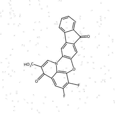 O=C(O)c1cn2c3cc4c(cc3oc3c(F)c(F)cc(c1=O)c32)c(=O)c1ccccc14